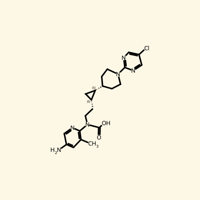 Cc1cc(N)cnc1N(CC[C@@H]1C[C@@H]1C1CCN(c2ncc(Cl)cn2)CC1)C(=O)O